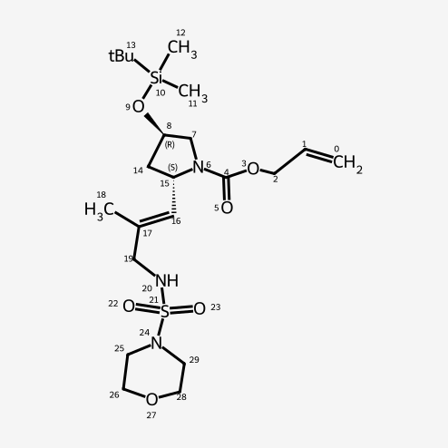 C=CCOC(=O)N1C[C@H](O[Si](C)(C)C(C)(C)C)C[C@H]1C=C(C)CNS(=O)(=O)N1CCOCC1